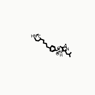 Cc1c(NS(=O)(=O)c2ccc(CCCCC3CCCNCC3)cc2)c(CC(C)C)nn1C